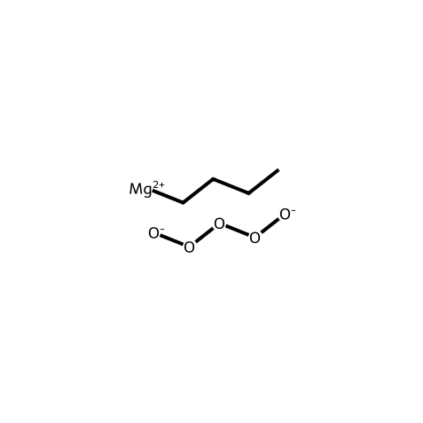 CCC[CH2][Mg+2].[O-]OOO[O-]